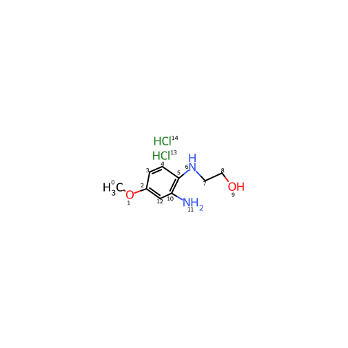 COc1ccc(NCCO)c(N)c1.Cl.Cl